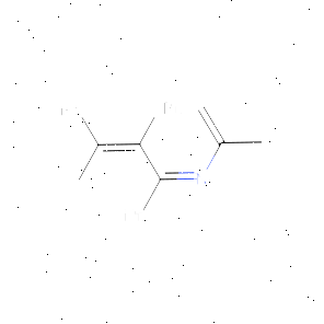 C=C(C)/N=C(\C(=C(/C)C(C)C)C(C)(C)C)C(C)C